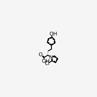 O=C(O)[C@H](CCc1ccc(O)cc1)n1cccc1Cl